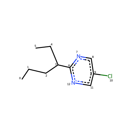 CCCC(CC)c1ncc(Cl)cn1